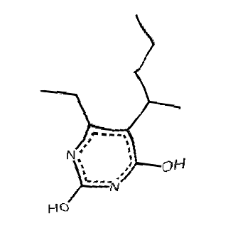 CCCC(C)c1c(O)nc(O)nc1CC